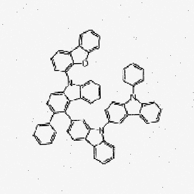 c1ccc(-c2ccc3c(c2-c2ccc4c5ccccc5n(-c5ccc6c(c5)c5ccccc5n6-c5ccccc5)c4c2)c2ccccc2n3-c2cccc3c2oc2ccccc23)cc1